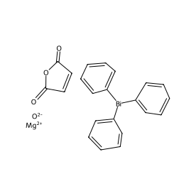 O=C1C=CC(=O)O1.[Mg+2].[O-2].c1cc[c]([Bi]([c]2ccccc2)[c]2ccccc2)cc1